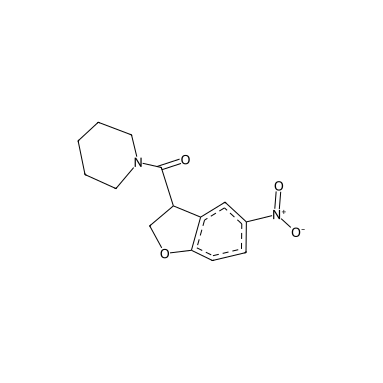 O=C(C1COc2ccc([N+](=O)[O-])cc21)N1CCCCC1